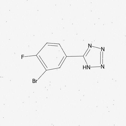 Fc1ccc(-c2nnn[nH]2)cc1Br